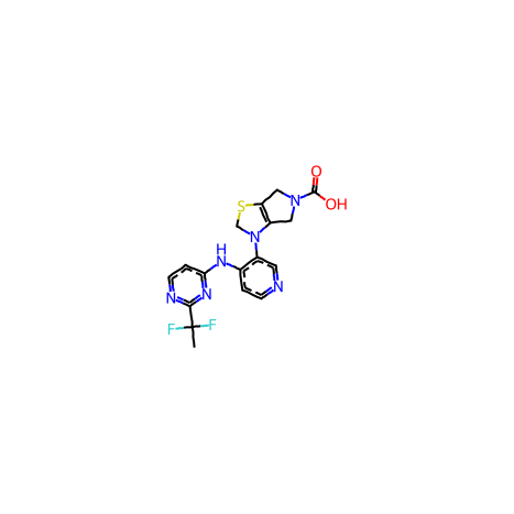 CC(F)(F)c1nccc(Nc2ccncc2N2CSC3=C2CN(C(=O)O)C3)n1